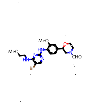 COCCNc1nc(Nc2ccc(C3CN(C=O)CCO3)cc2OC)ncc1Br